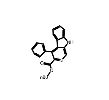 CCCCOC(=O)c1ncc2[nH]c3ccccc3c2c1-c1ccccc1